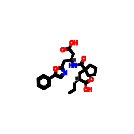 CCC[C@H](CC1(C(=O)N[C@H](CC(=O)O)Cc2ncc(-c3ccccc3)o2)CCCC1)C(=O)O